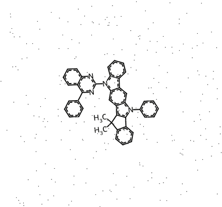 CC1(C)c2ccccc2-c2c1c1cc3c(cc1n2-c1ccccc1)c1ccccc1n3-c1nc(-c2ccccc2)c2ccccc2n1